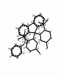 CC1CCC(C(C)C)C(C2(C3CC(C)CCC3C(C)C)c3ccccc3-c3cccc(Nc4ccccc4)c32)C1